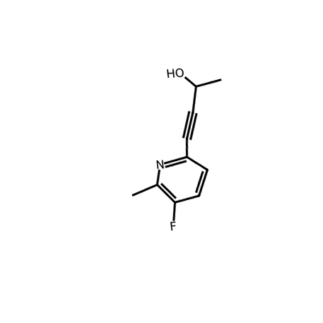 Cc1nc(C#CC(C)O)ccc1F